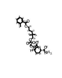 Cc1ccccc1C(=O)OCCCC(C)(C)COS(=O)(=O)ON1C(=O)N2C[C@H]1CC[C@H]2C(N)=O